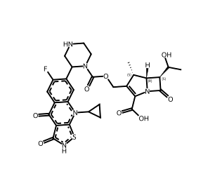 CC(O)[C@H]1C(=O)N2C(C(=O)O)=C(COC(=O)N3CCNCC3c3cc4c(cc3F)c(=O)c3c(=O)[nH]sc3n4C3CC3)[C@H](C)[C@H]12